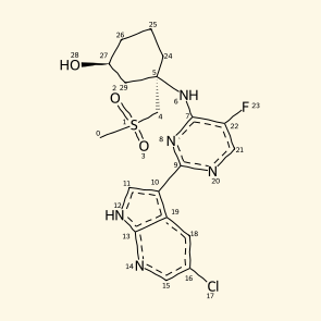 CS(=O)(=O)C[C@@]1(Nc2nc(-c3c[nH]c4ncc(Cl)cc34)ncc2F)CCC[C@H](O)C1